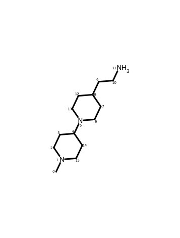 CN1CCC(N2CCC(CCN)CC2)CC1